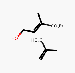 C=C(C)C(=O)O.CCOC(=O)C(C)=CCO